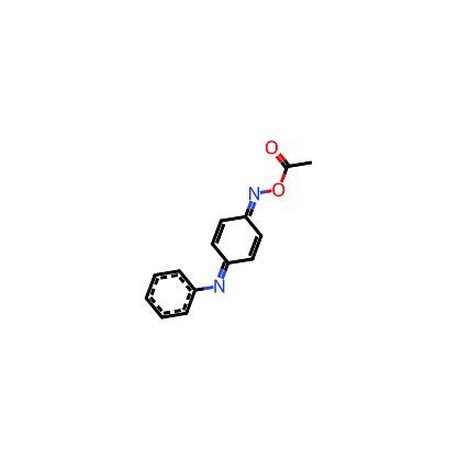 CC(=O)ON=C1C=CC(=Nc2ccccc2)C=C1